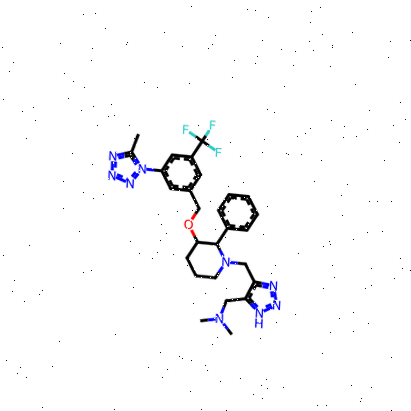 Cc1nnnn1-c1cc(COC2CCCN(Cc3nn[nH]c3CN(C)C)C2c2ccccc2)cc(C(F)(F)F)c1